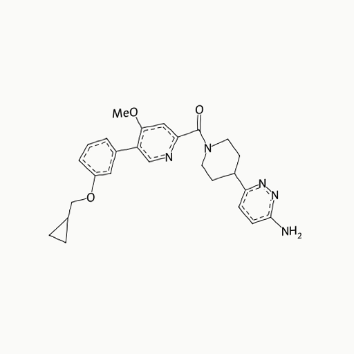 COc1cc(C(=O)N2CCC(c3ccc(N)nn3)CC2)ncc1-c1cccc(OCC2CC2)c1